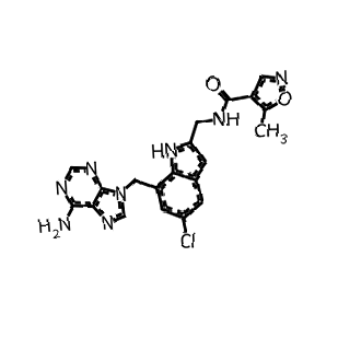 Cc1oncc1C(=O)NCc1cc2cc(Cl)cc(Cn3cnc4c(N)ncnc43)c2[nH]1